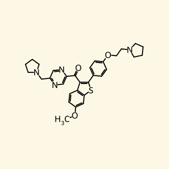 COc1ccc2c(C(=O)c3cnc(CN4CCCC4)cn3)c(-c3ccc(OCCN4CCCC4)cc3)sc2c1